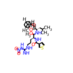 CC(C)C[C@H](NC(=O)[C@H](CCCNC(=N)N[N+](=O)[O-])NC(=O)c1ccsc1)B1O[C@@H]2C[C@@H]3C[C@@H](C3(C)C)[C@]2(C)O1